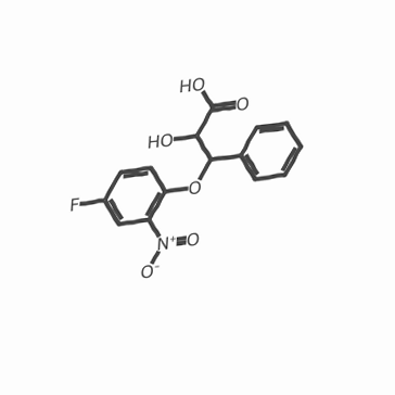 O=C(O)C(O)C(Oc1ccc(F)cc1[N+](=O)[O-])c1ccccc1